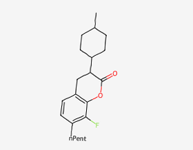 CCCCCc1ccc2c(c1F)OC(=O)C(C1CCC(C)CC1)C2